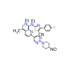 CCN1CC(C)=c2ccc(-c3cnc(N4CCC(N=O)CC4)nc3)nc2=C1N(CC)c1nc(-c2ccc(F)cc2)c(C#N)s1